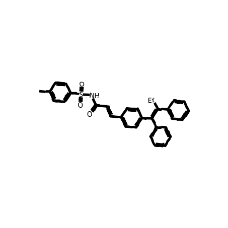 CCC(=C(c1ccccc1)c1ccc(C=CC(=O)NS(=O)(=O)c2ccc(C)cc2)cc1)c1ccccc1